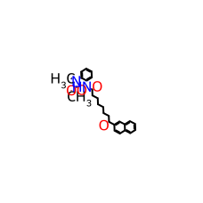 COC(=O)N(C)c1ccccc1NC(=O)CCCCCCC(=O)c1ccc2ccccc2c1